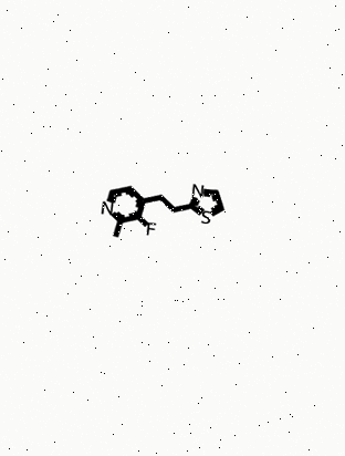 Cc1nccc(CCc2nccs2)c1F